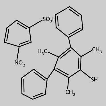 Cc1c(S)c(C)c(-c2ccccc2)c(C)c1-c1ccccc1.O=[N+]([O-])c1cccc(S(=O)(=O)O)c1